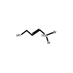 CCCCC=C[SiH](Br)Br